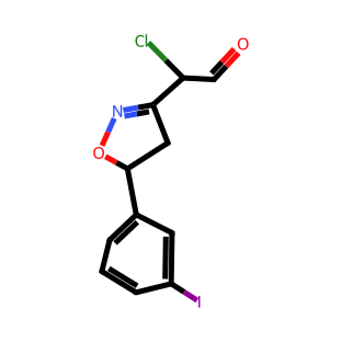 O=CC(Cl)C1=NOC(c2cccc(I)c2)C1